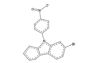 O=[N+]([O-])c1ccc(-n2c3ccccc3c3ccc(Br)cc32)cc1